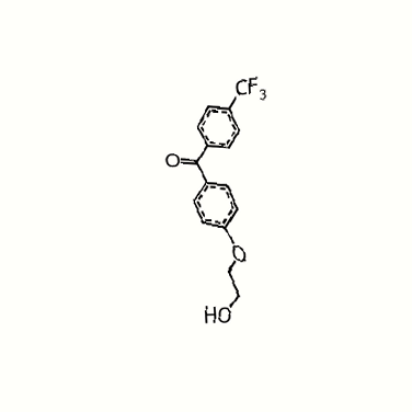 O=C(c1ccc(OCCO)cc1)c1ccc(C(F)(F)F)cc1